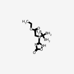 BC(B)(B)N(CC(=O)OCC)c1nc(=O)o[nH]1